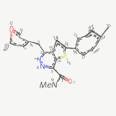 CNC(=O)c1nnc(Cc2ccoc2)c2cc(-c3ccc(C)cc3)sc12